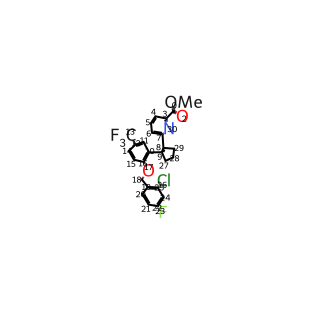 COC(=O)c1cccc(C2=C(c3cc(C(F)(F)F)ccc3OCc3ccc(F)cc3Cl)CCC2)n1